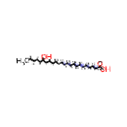 CCCCCC(O)CCCCC/C=C/C=C/C=C/C=C/C=C/C=C/C(=O)O